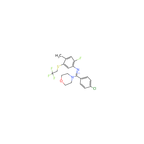 Cc1cc(F)c(/N=C(/c2ccc(Cl)cc2)N2CCOCC2)cc1SCC(F)(F)F